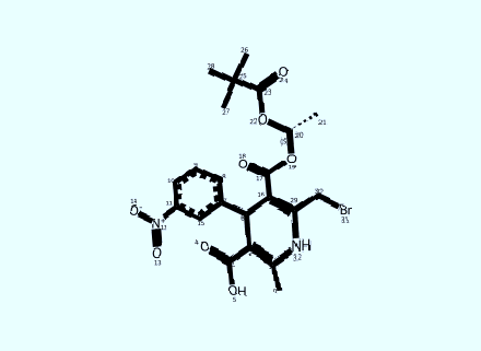 CC1=C(C(=O)O)C(c2cccc([N+](=O)[O-])c2)C(C(=O)O[C@@H](C)OC(=O)C(C)(C)C)=C(CBr)N1